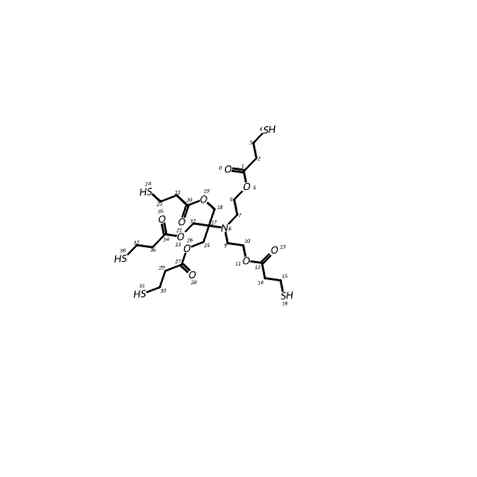 O=C(CCS)OCCN(CCOC(=O)CCS)C(COC(=O)CCS)(COC(=O)CCS)COC(=O)CCS